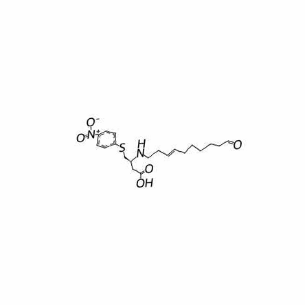 O=CCCCCC/C=C/CCN[C@H](CSc1ccc([N+](=O)[O-])cc1)CC(=O)O